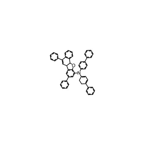 C1=C(c2ccccc2)CCC(N(c2ccc(-c3ccccc3)cc2)c2cc(-c3ccccc3)cc3c2OC2c4ccccc4C(c4ccccc4)=CC32)=C1